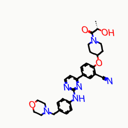 C[C@H](O)C(=O)N1CCC(Oc2ccc(-c3ccnc(Nc4ccc(CN5CCOCC5)cc4)n3)cc2C#N)CC1